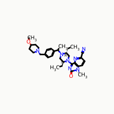 CC[C@H]1CN(C(C)c2ccc(CN3CCC(OC)CC3)cc2)[C@H](CC)CN1c1nc(=O)n(C)c2ccc(C#N)nc12